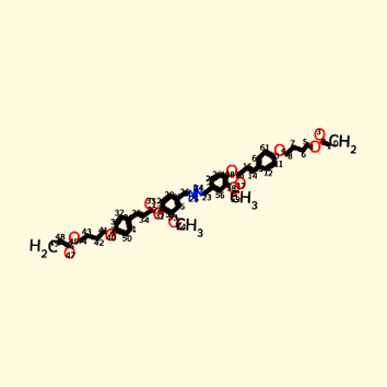 C=CC(=O)OCCCCOc1ccc(/C=C/C(=O)Oc2ccc(/C=N/N=C/c3ccc(OC(=O)/C=C/c4ccc(OCCCCOC(=O)C=C)cc4)c(OC)c3)cc2OC)cc1